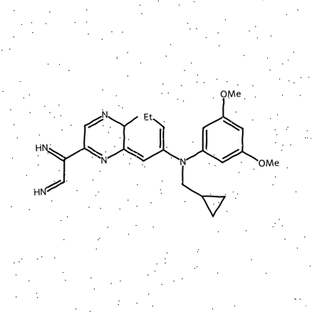 CC/C=C(\C=C1\N=C(C(=N)C=N)C=NC1C)N(CC1CC1)c1cc(OC)cc(OC)c1